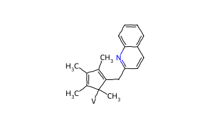 CC1=C(C)[C](C)([V])C(Cc2ccc3ccccc3n2)=C1C